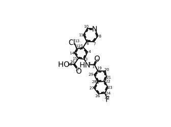 O=C(Nc1cc(-c2ccncc2)c(Cl)cc1C(=O)O)c1ccc2cc(F)ccc2c1